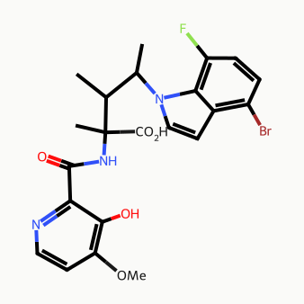 COc1ccnc(C(=O)NC(C)(C(=O)O)C(C)C(C)n2ccc3c(Br)ccc(F)c32)c1O